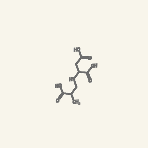 CC(CNC(CC(=O)O)C(=O)O)C(=O)O